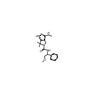 CNc1n[nH]c2c1CN(C(=O)NC(COC)c1ccccc1)C2(C)C